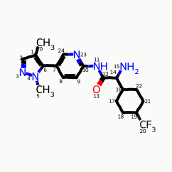 Cc1cnn(C)c1-c1ccc(NC(=O)C(N)C2CCC(C(F)(F)F)CC2)nc1